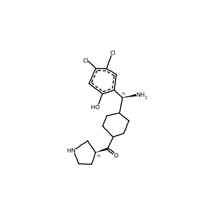 N[C@H](c1cc(Cl)c(Cl)cc1O)C1CCC(C(=O)[C@H]2CCNC2)CC1